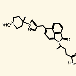 CC(CCC(=O)NC=O)N1C(=O)c2cccc3c(Cc4cnn(C5(C)CCN(C=O)CC5)c4)ccc1c23